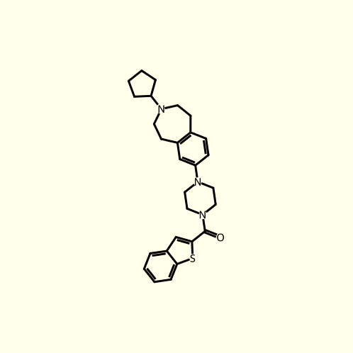 O=C(c1cc2ccccc2s1)N1CCN(c2ccc3c(c2)CCN(C2CCCC2)CC3)CC1